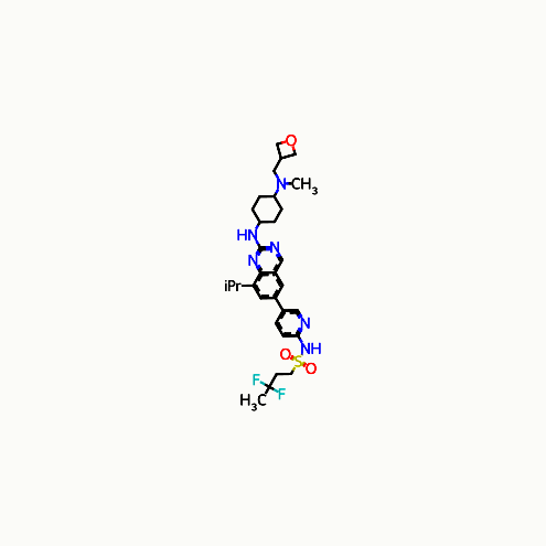 CC(C)c1cc(-c2ccc(NS(=O)(=O)CCC(C)(F)F)nc2)cc2cnc(NC3CCC(N(C)CC4COC4)CC3)nc12